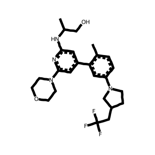 Cc1ccc(N2CCC(CC(F)(F)F)C2)cc1-c1cc(NC(C)CO)nc(N2CCOCC2)c1